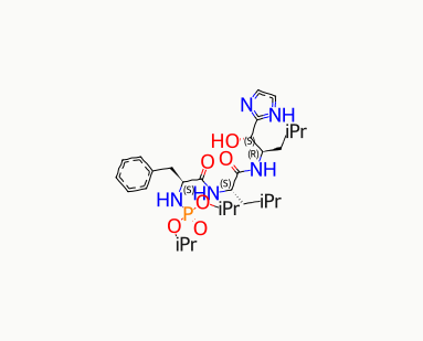 CC(C)C[C@H](NC(=O)[C@H](Cc1ccccc1)NP(=O)(OC(C)C)OC(C)C)C(=O)N[C@H](CC(C)C)[C@H](O)c1ncc[nH]1